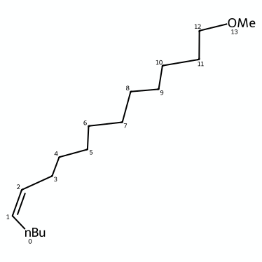 CCCC/C=C\CCCCCCCCCCOC